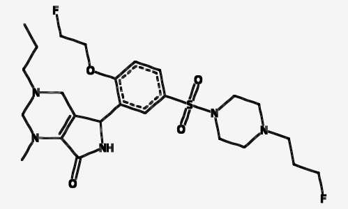 CCCN1CC2=C(C(=O)NC2c2cc(S(=O)(=O)N3CCN(CCCF)CC3)ccc2OCCF)N(C)C1